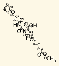 CCOC(=O)CC/C=C/COC[C@@]1(F)C[C@@H](C(=O)O)N(C(=O)CNC(=O)CCCOc2ccccc2)C1